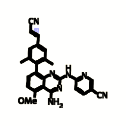 COc1ccc(-c2c(C)cc(/C=C/C#N)cc2C)c2nc(Nc3ccc(C#N)cn3)nc(N)c12